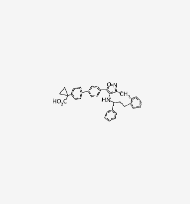 Cc1noc(-c2ccc(-c3ccc(C4(C(=O)O)CC4)cc3)cc2)c1NC(CCc1ccccc1)c1ccccc1